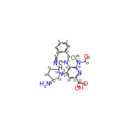 CN(Cc1ccccc1C#N)c1c(N2CCCC(N)C2)cc(C(=O)O)nc1N(Cl)C=O